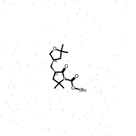 CC(C)(C)OC(=O)N1C(=O)[C@H](C[C@H]2COC(C)(C)C2)CC1(C)C